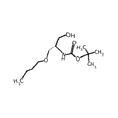 CCCCOC[C@H](CO)NC(=O)OC(C)(C)C